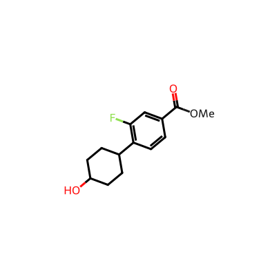 COC(=O)c1ccc(C2CCC(O)CC2)c(F)c1